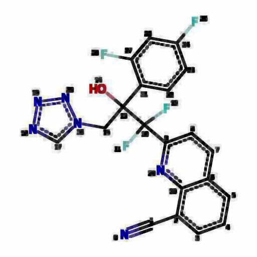 N#Cc1cccc2ccc(C(F)(F)C(O)(Cn3cnnn3)c3ccc(F)cc3F)nc12